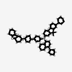 CC1(C)c2cc(-c3ccccc3)ccc2-c2ccc(N(c3ccc(-c4ccc(-c5ccc6oc7ccccc7c6c5)cc4)cc3)c3ccc(-c4ccccc4)c4ccccc34)cc21